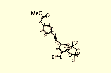 COC(=O)Cc1ccc(C#Cc2cc(CBr)c3c(c2)C(C)(C)CC(C)(C)O3)cc1